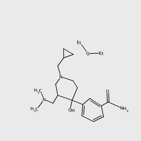 CCOCC.CN(C)CC1CN(CC2CC2)CCC1(O)c1cccc(C(N)=O)c1